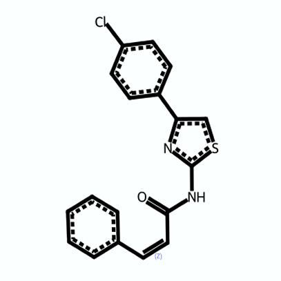 O=C(/C=C\c1ccccc1)Nc1nc(-c2ccc(Cl)cc2)cs1